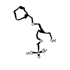 O=P(O)(O)CSCC(CO)COCc1ccccc1